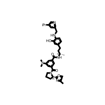 Cc1coc([C@H]2CCCN2C(=O)c2cc(C(=O)N[C@@H](C)CCc3ccc(NCc4cncc(C(C)C)c4)c(O)c3)cc(N(C)C)c2)n1